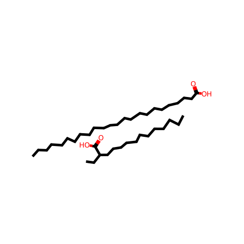 CCCCCCCCCCCCC(CC)C(=O)O.CCCCCCCCCCCCCCCCCCCCCCCC(=O)O